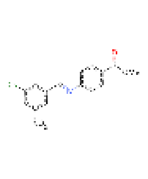 COC(=O)c1ccc(N=Cc2cc(Cl)cc([N+](=O)[O-])c2)cc1